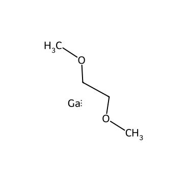 COCCOC.[Ga]